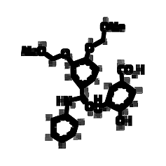 COCOc1ccc(C(=O)Nc2ccccc2)cc1OCOC.O=C(O)c1ccc(O)c(O)c1